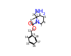 CC1(CN)CCCCN1C(=O)OCc1ccccc1